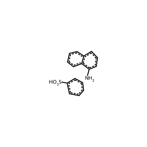 Nc1cccc2ccccc12.O=S(=O)(O)c1ccccc1